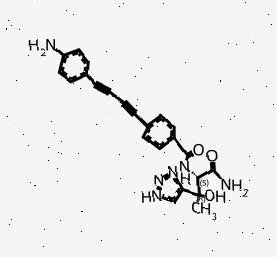 C[C@](O)(c1c[nH]nn1)[C@H](NC(=O)c1ccc(C#CC#Cc2ccc(N)cc2)cc1)C(N)=O